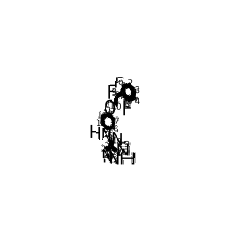 Fc1cccc(F)c1C(F)CO[C@H]1CC[C@H](Nc2ncnc3[nH]ncc23)CC1